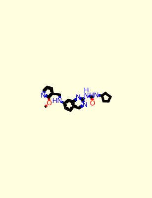 COc1ncccc1CNc1ccc2cnc(NC(=O)NC3CCCC3)nc2c1